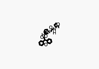 O=C(C[N+]12CCC(CC1)[C@@H](OC(=O)C1c3ccccc3Oc3ccccc31)C2)Nc1ccon1